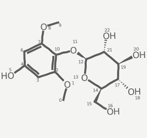 COc1cc(O)cc(OC)c1O[C@@H]1O[C@H](CO)[C@@H](O)[C@H](O)[C@H]1O